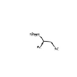 CCCCCC(CC(C)=O)C(C)=O